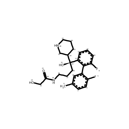 Cc1ccc(F)c(-c2c(F)cccc2[C@](O)(CCCNC(=O)CO)C2CCCNC2)c1